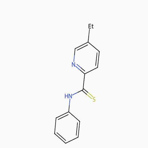 CCc1ccc(C(=S)Nc2ccccc2)nc1